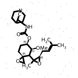 CO[C@H]1C(C2(C)O[C@@H]2CC=C(C)C)[C@]2(CC[C@H]1OC(=O)NC1CN3CCC1CC3)CO2